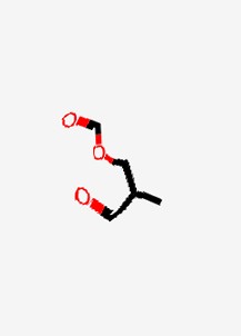 CC(C=O)COC=O